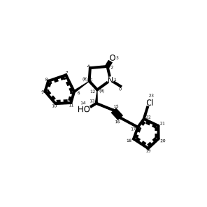 CN1C(=O)C[C@H](c2ccccc2)[C@@H]1C(O)C#Cc1ccccc1Cl